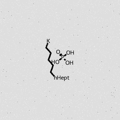 CCCCCCCCCCC[CH2][K].O=P(O)(O)O